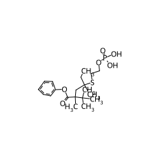 CCC(C)(CC(C)(C(=O)Oc1ccccc1)C(C)(C)C)SCCOP(=O)(O)O